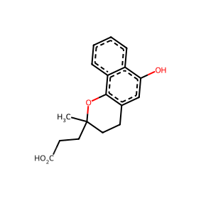 CC1(CCC(=O)O)CCc2cc(O)c3ccccc3c2O1